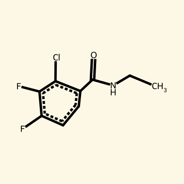 CCNC(=O)c1ccc(F)c(F)c1Cl